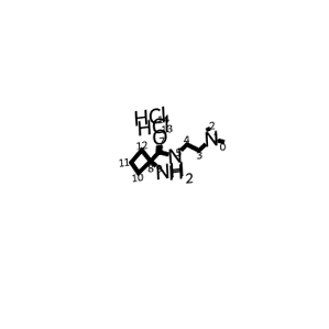 CN(C)CCNC(=O)C1(N)CCC1.Cl.Cl